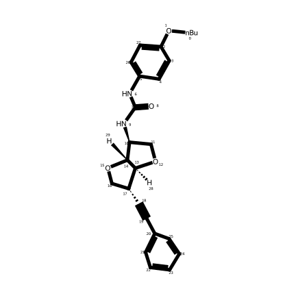 CCCCOc1ccc(NC(=O)N[C@H]2CO[C@@H]3[C@@H]2OC[C@H]3C#Cc2ccccc2)cc1